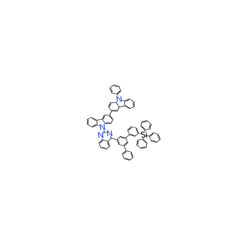 C1=CC2C(C=C1c1ccc3c(c1)c1ccccc1n3-c1nc(-c3cc(-c4ccccc4)cc(-c4cccc([Si](c5ccccc5)(c5ccccc5)c5ccccc5)c4)c3)c3ccccc3n1)c1ccccc1N2c1ccccc1